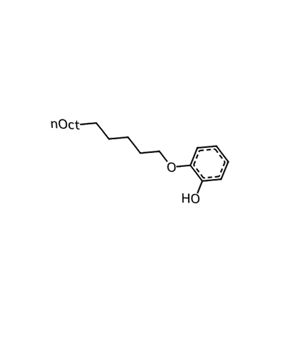 CCCCCCCCCCCCCOc1ccccc1O